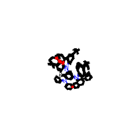 CC(C)(C)c1ccc(N2c3cc4c(cc3B3c5ccccc5N(c5ccccc5)c5cc(N6c7ccc(C(C)(C)C)cc7C7(c8ccccc8)CCc8ccccc8C67C)cc2c53)C(C)(C)CCC4(C)C)c(-c2ccccc2)c1